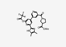 COC(=O)C1CCN(C(=O)c2cncc(-c3ccnc(-c4nc(C)c(C)[nH]4)c3)c2)C1.O=C(O)C(F)(F)F